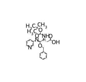 CC(C)(C)OC(=O)N[C@H](CC(=O)O)C(=Nc1cccnc1)OCc1ccccc1